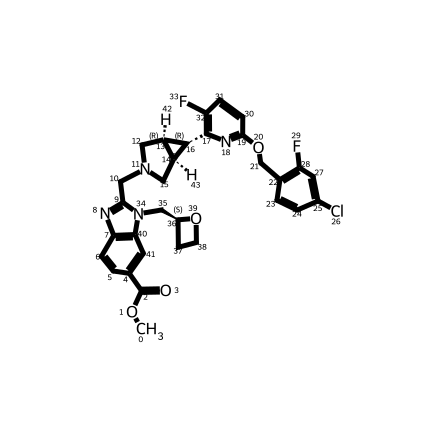 COC(=O)c1ccc2nc(CN3C[C@@H]4[C@H](C3)[C@H]4c3nc(OCc4ccc(Cl)cc4F)ccc3F)n(C[C@@H]3CCO3)c2c1